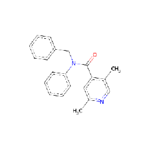 Cc1cc(C(=O)N(Cc2ccccc2)c2ccccc2)c(C)cn1